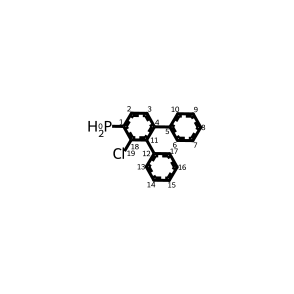 Pc1ccc(-c2ccccc2)c(-c2ccccc2)c1Cl